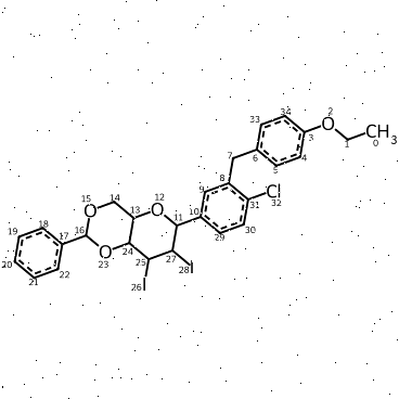 CCOc1ccc(Cc2cc(C3OC4COC(c5ccccc5)OC4C(I)C3I)ccc2Cl)cc1